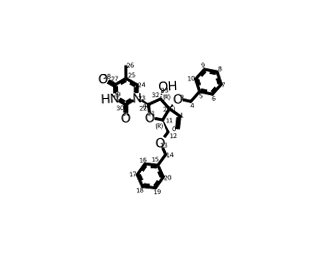 C=C[C@@]1(OCc2ccccc2)[C@@H](COCc2ccccc2)O[C@@H](n2cc(C)c(=O)[nH]c2=O)[C@@H]1O